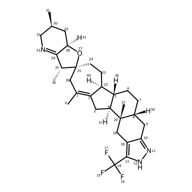 CC1=C2C[C@H]3[C@@H](CC[C@@H]4Cc5n[nH]c(C(F)(F)F)c5C[C@@]43C)[C@@H]2CC[C@@]2(C1)O[C@@H]1C[C@H](C)CN=C1[C@H]2C